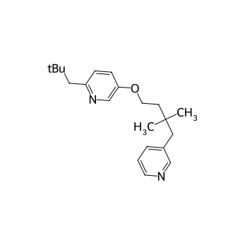 CC(C)(C)Cc1ccc(OCCC(C)(C)Cc2cccnc2)cn1